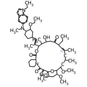 CCOC1CC(C=C(C)C2OC(=O)C3CCCCN3C(=O)C(=O)C3(O)OC(C(OC)CC(C)C/C(C)=C/C(CC)C(=O)CC(O)C2C)C(OC)CC3C)CCC1N(C)c1ccc2c(ccn2CC)c1